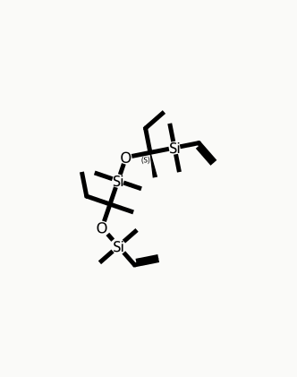 C=C[Si](C)(C)OC(C)(CC)[Si](C)(C)O[C@](C)(CC)[Si](C)(C)C=C